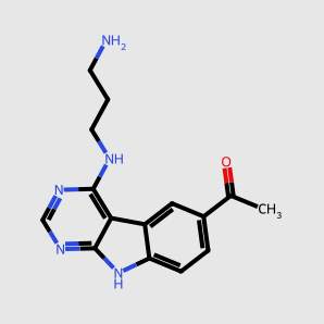 CC(=O)c1ccc2[nH]c3ncnc(NCCCN)c3c2c1